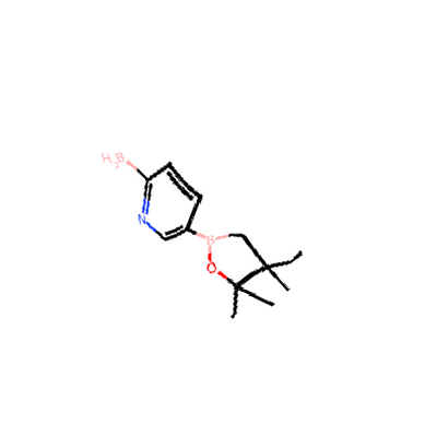 Bc1ccc(B2CC(C)(C)C(C)(C)O2)cn1